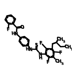 CCC(C)Cc1c(F)c(C)c(F)c(NC(=S)Nc2ccc(NC(=O)c3ccccc3F)cc2)c1F